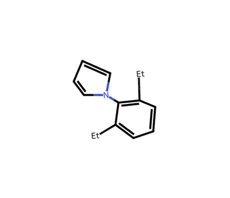 CCc1cccc(CC)c1-n1cccc1